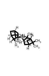 C[C@H]1[C@H](B[C@@H]2C[C@@H]3C[C@H]([C@H]2C)C3(C)C)C[C@@H]2C[C@H]1C2(C)C